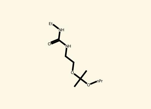 CCCOC(C)(C)OCCNC(=O)NCC